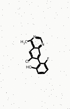 Cc1ncnc2cc(-c3c(O)cccc3F)c(Cl)cc12